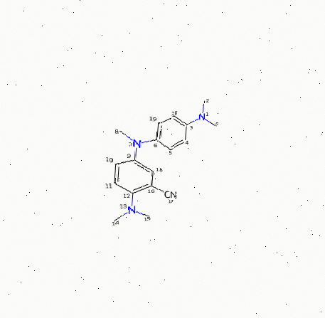 CN(C)c1ccc(N(C)c2ccc(N(C)C)c(C#N)c2)cc1